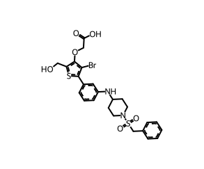 O=C(O)COc1c(CO)sc(-c2cccc(NC3CCN(S(=O)(=O)Cc4ccccc4)CC3)c2)c1Br